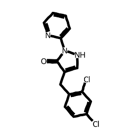 O=c1c(Cc2ccc(Cl)cc2Cl)c[nH]n1-c1ccccn1